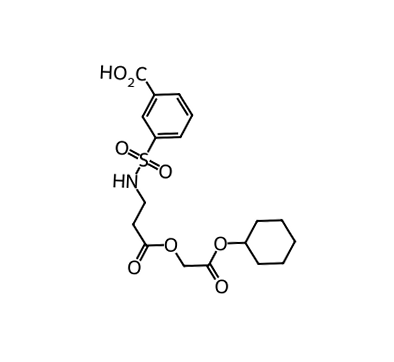 O=C(CCNS(=O)(=O)c1cccc(C(=O)O)c1)OCC(=O)OC1CCCCC1